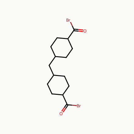 O=C(Br)C1CCC(CC2CCC(C(=O)Br)CC2)CC1